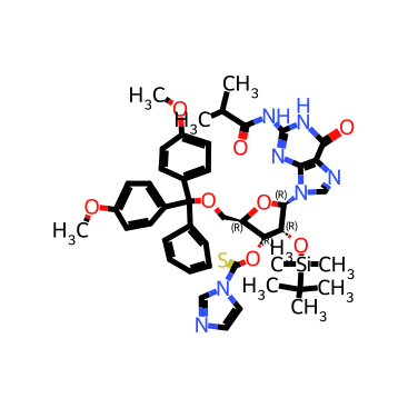 COc1ccc(C(OC[C@H]2O[C@@H](n3cnc4c(=O)[nH]c(NC(=O)C(C)C)nc43)[C@H](O[Si](C)(C)C(C)(C)C)[C@@H]2OC(=S)n2ccnc2)(c2ccccc2)c2ccc(OC)cc2)cc1